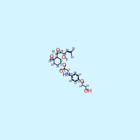 CO[C@@H]1[C@H](OC(=O)CNc2ccc(OCCO)cc2)CC[C@]2(CO2)[C@H]1[C@@]1(C)OC1CC=C(C)C